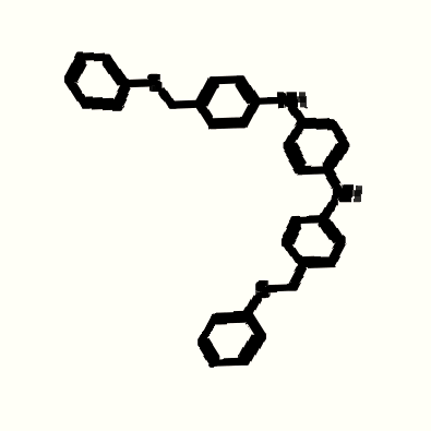 c1ccc(SCc2ccc(Nc3ccc(Nc4ccc(CSc5ccccc5)cc4)cc3)cc2)cc1